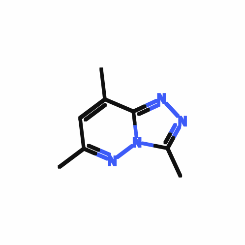 Cc1cc(C)c2nnc(C)n2n1